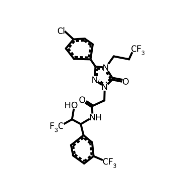 O=C(Cn1nc(-c2ccc(Cl)cc2)n(CCC(F)(F)F)c1=O)NC(c1cccc(C(F)(F)F)c1)C(O)C(F)(F)F